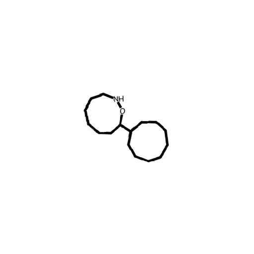 C1CCCCC(C2CCCCCCNO2)CCC1